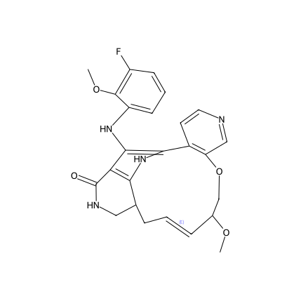 COc1c(F)cccc1Nc1c2[nH]c3c1C(=O)NCC3C/C=C/C(OC)COc1cnccc1-2